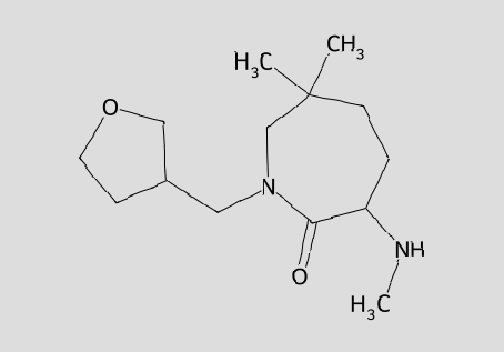 CNC1CCC(C)(C)CN(CC2CCOC2)C1=O